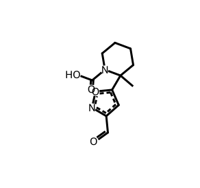 CC1(c2cc(C=O)no2)CCCCN1C(=O)O